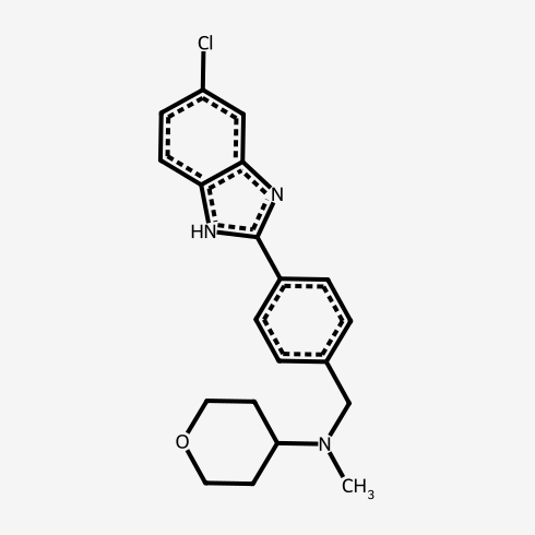 CN(Cc1ccc(-c2nc3cc(Cl)ccc3[nH]2)cc1)C1CCOCC1